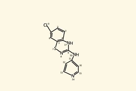 Clc1ccc2c(c1)SN=C(Nc1ccncc1)N2